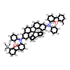 Cc1cccc2c1oc1c(N(c3ccccc3)c3ccc4c5c(ccc4c3)-c3ccc4cc(N(c6ccccc6)c6cccc7c6oc6c([Si](C)(C)C)cccc67)ccc4c3C53c4ccccc4-c4ccccc43)cccc12